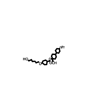 C#CC1(OC(=O)C2CCC(OCCCCCCO)CC2)CCC(C2CCC(CCC)CC2)CC1